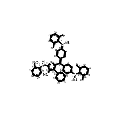 CCN(c1ccc(C(=C2C=CC(=[N+](CC)c3c(C)cccc3C)C=C2)c2sc(Nc3ccccc3[N+](=O)[O-])c(C#N)c2-c2ccccc2)cc1)c1c(C)cccc1C